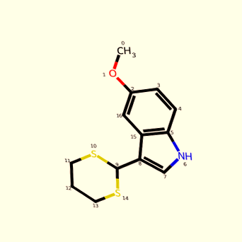 COc1ccc2[nH]cc(C3SCCCS3)c2c1